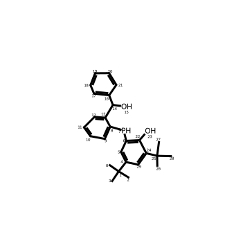 CC(C)(C)c1cc(Pc2ccccc2C(O)c2ccccc2)c(O)c(C(C)(C)C)c1